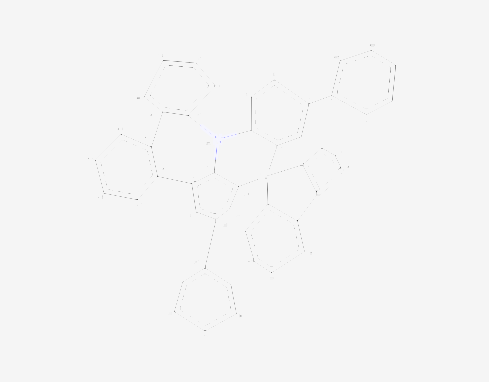 c1ccc(-c2ccc3c(c2)[Si]2(c4ccccc4-c4ccccc42)c2cc(-c4ccccc4)cc4c2N3c2ccccc2-c2ccccc2-4)cc1